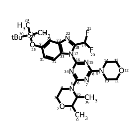 CC1OCCN(c2nc(N3CCOCC3)nc(-n3c(C(F)F)nc4cc(O[Si](C)(C)C(C)(C)C)ccc43)n2)C1C